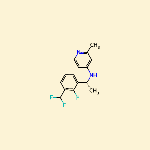 Cc1cc(N[C@H](C)c2cccc(C(F)F)c2F)ccn1